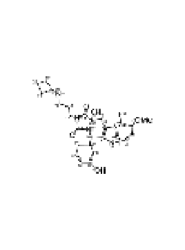 COc1ccc2[nH]c3c(c2c1F)CC1(C)C(=O)N(CCCNC2CCC2)C(=O)N1C3c1cccc(O)c1